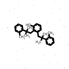 Cc1ccccc1C(C)(C)Cc1cccc(O)c1CC(C)(C)c1ccccc1C